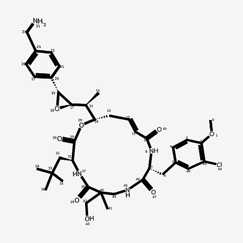 COc1ccc(C[C@H]2NC(=O)/C=C/C[C@@H]([C@H](C)[C@H]3O[C@@H]3c3ccc(CN)cc3)OC(=O)[C@H](CC(C)(C)C)NC(=O)C(C)(CO)CNC2=O)cc1Cl